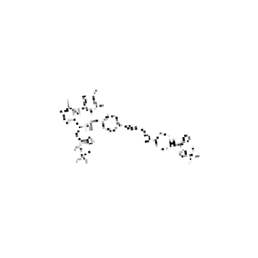 Cc1sc2c(c1C)C(c1ccc(C#CCOC3CCN(C(=O)OC(C)(C)C)CC3)cc1)=N[C@@H](CC(=O)OC(C)(C)C)c1nnc(C)n1-2